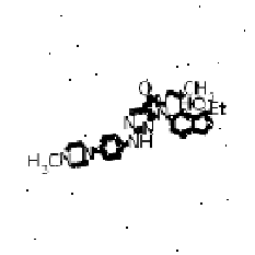 C=CCn1c(=O)c2cnc(Nc3ccc(N4CCN(C)CC4)cc3)nc2n1C1C=C2C(=CC1)CCC2(O)CC